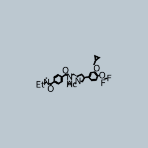 CCN(C)C(=O)c1ccc(C(=O)NC[C@H]2CC(c3ccc(OC(F)F)c(OCC4CC4)c3)CN2C(C)=O)cc1